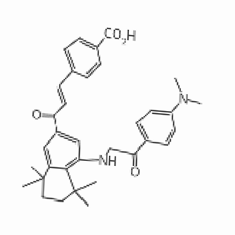 CN(C)c1ccc(C(=O)CNc2cc(C(=O)C=Cc3ccc(C(=O)O)cc3)cc3c2C(C)(C)CCC3(C)C)cc1